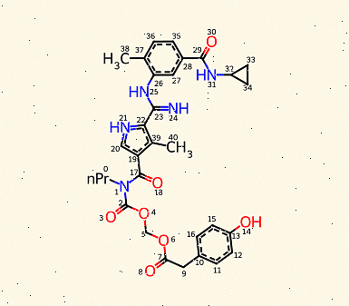 CCCN(C(=O)OCOC(=O)Cc1ccc(O)cc1)C(=O)c1c[nH]c(C(=N)Nc2cc(C(=O)NC3CC3)ccc2C)c1C